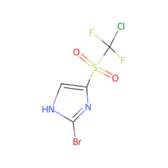 O=S(=O)(c1c[nH]c(Br)n1)C(F)(F)Cl